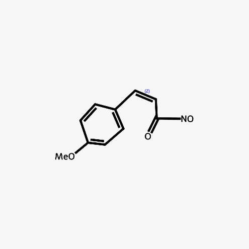 COc1ccc(/C=C\C(=O)N=O)cc1